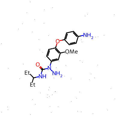 CCC(CC)NC(=O)N(N)c1ccc(Oc2ccc(N)cc2)c(OC)c1